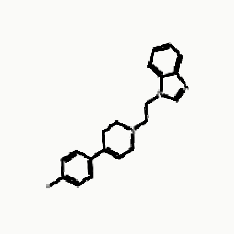 Fc1ccc(C2=CCN(CCn3cnc4ccccc43)CC2)cc1